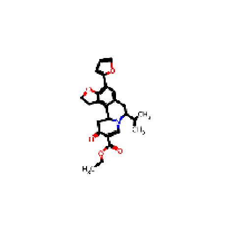 CCOC(=O)C1=CN2C(CC1=O)c1c(cc(-c3ccco3)c3c1CCO3)CC2C(C)C